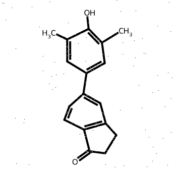 Cc1cc(-c2ccc3c(c2)CCC3=O)cc(C)c1O